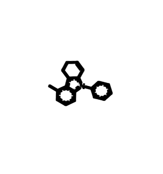 Cc1cccc2c1c1c(n2-c2ccccc2)C=CCC1